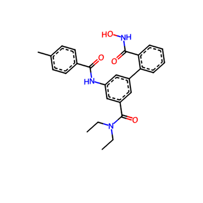 CCN(CC)C(=O)c1cc(NC(=O)c2ccc(C)cc2)cc(-c2ccccc2C(=O)NO)c1